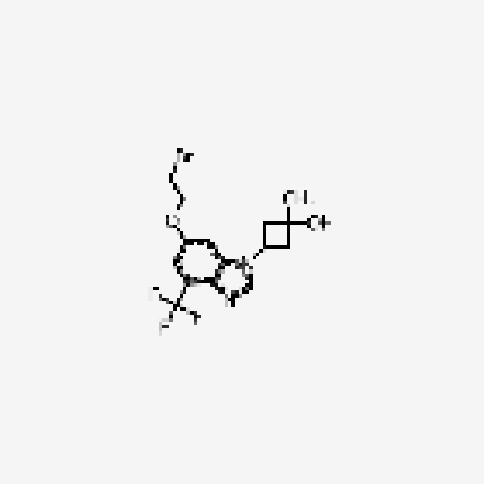 CC1(O)CC(n2cnc3c(C(F)(F)F)cc(OCCBr)cc32)C1